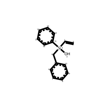 C=C[Si](O)(Cc1ccccc1)c1ccccc1